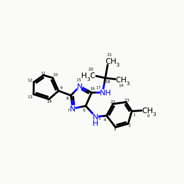 Cc1ccc(NC2N=C(c3ccccc3)N=C2NC(C)(C)C)cc1